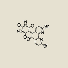 O=C1NC(=O)C(=C2C(=O)c3ccc(Br)nc3-c3nc(Br)ccc32)C(=O)N1